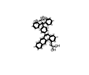 CCCC[PH](CCCC)(CCCC)C(c1ccccc1)(c1ccccc1)c1ccccc1.OB(O)Oc1cccc2ccc3cc4ccccc4cc3c12